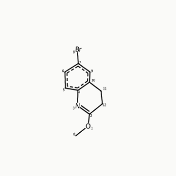 COC1=Nc2ccc(Br)cc2CC1